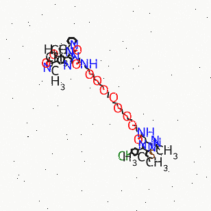 COc1cc2c(cc1-c1c(C)noc1C)ncc1c2n(C(C)c2ccccn2)c(=O)n1CC(=O)NCCOCCOCCOCCOCCOCCOCCOCCNC(=O)CC1N=C(c2ccc(Cl)cc2)c2c(sc(C)c2C)-n2c(C)nnc21